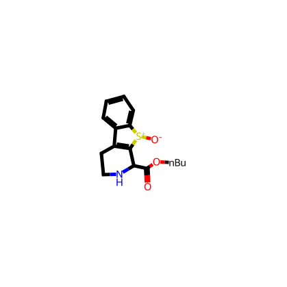 CCCCOC(=O)C1NCCc2c1[s+]([O-])c1ccccc21